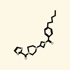 CCCCCc1ccc(C(=O)N2CC(N3CCN(C(=O)c4nccs4)CC3)C2)cc1